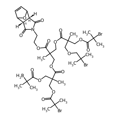 BC(C)(C)C(=O)OCC(C)(COC(=O)C(C)(C)Br)C(=O)OCC(C)(COC(=O)C(C)(COCC(C)(C)Br)COC(=O)C(C)(C)Br)C(=O)OCCN1C(=O)[C@@H]2C3C=CC(O3)[C@@H]2C1=O